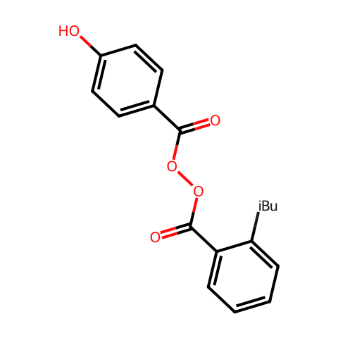 CCC(C)c1ccccc1C(=O)OOC(=O)c1ccc(O)cc1